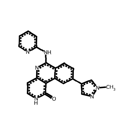 Cn1cc(-c2ccc3c(Nc4ccccn4)nc4cc[nH]c(=O)c4c3c2)cn1